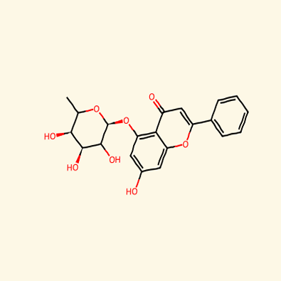 CC1O[C@@H](Oc2cc(O)cc3oc(-c4ccccc4)cc(=O)c23)C(O)[C@@H](O)[C@H]1O